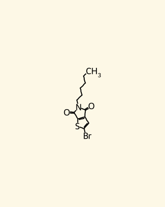 CCCCCCN1C(=O)c2cc(Br)sc2C1=O